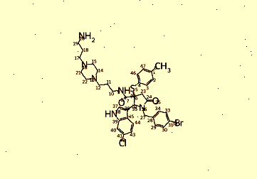 Cc1ccc(S[C@@]2(C(=O)NCCCN3CCN(CCCN)CC3)CC(=O)N(Cc3ccc(Br)cc3)[C@H]2c2c[nH]c3cc(Cl)ccc23)cc1